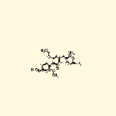 CCOc1cc(Cc2cnc(N)nc2N)cc(O)c1-c1ccc(OC)cc1OC